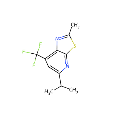 Cc1nc2c(C(F)(F)F)cc(C(C)C)nc2s1